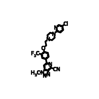 Cn1nnc2c(C#N)nc(-c3ccc(OCCN4CCN(c5ccc(Cl)cn5)CC4)c(C(F)(F)F)c3)cc21